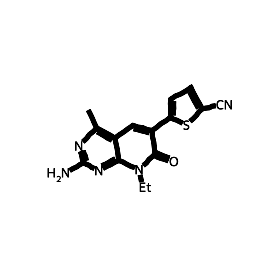 CCn1c(=O)c(-c2ccc(C#N)s2)cc2c(C)nc(N)nc21